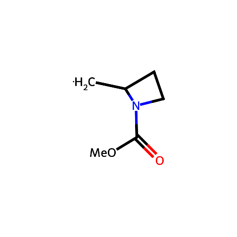 [CH2]C1CCN1C(=O)OC